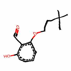 CC(C)(C)CCOc1cccc(O)c1C=O